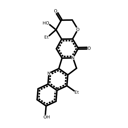 CCc1c2c(nc3ccc(O)cc13)-c1cc3c(c(=O)n1C2)OCC(=O)C3(O)CC